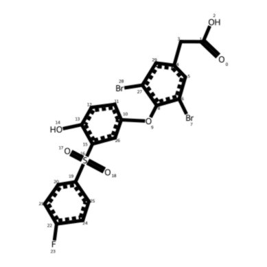 O=C(O)Cc1cc(Br)c(Oc2ccc(O)c(S(=O)(=O)c3ccc(F)cc3)c2)c(Br)c1